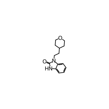 O=c1[nH]c2ccccc2n1CCC1CCOCC1